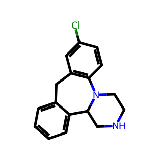 Clc1ccc2c(c1)Cc1ccccc1C1CNCCN21